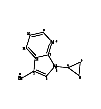 Brc1cn(C2CC2)c2ncccc12